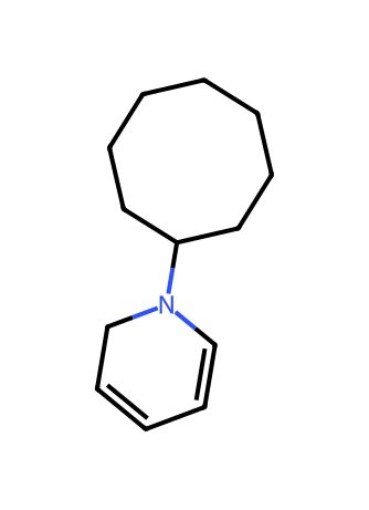 C1=CCN(C2CCCCCCC2)C=C1